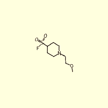 COCCN1CCC(S(=O)(=O)F)CC1